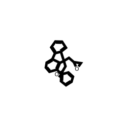 c1ccc(-c2cccc3c2C(CC2CO2)(CC2CO2)c2ccccc2-3)cc1